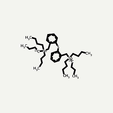 CCC[CH2][Sn]([CH2]CCC)([CH2]c1ccccc1Sc1ccccc1[CH2][Sn]([CH2]CCC)([CH2]CCC)[13CH2]CCC)[13CH2]CCC